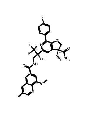 COc1cc(C(=O)NCC(O)(c2cc3c(c(-c4ccc(F)cc4)n2)OC[C@]3(CF)C(N)=O)C(F)(F)F)cc2cc(C)cnc12